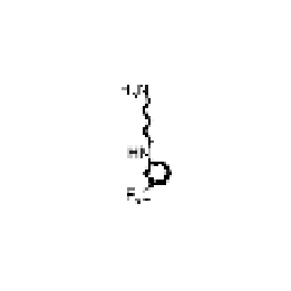 NCCCCCNc1cccc(C(F)(F)F)c1